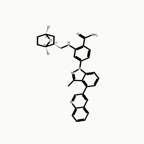 Cc1nn(-c2ccc(C(N)=O)c(NC[C@H]3C[C@@H]4CC[C@H]3O4)c2)c2cccc(-c3cnc4ccccc4c3)c12